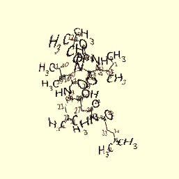 CC[C@H](C)[C@H](NC(=O)OC(C)(C)C)C(=O)N[C@H](C(=O)N[C@@H](CC(C)C)[C@@H](O)CC(=O)NC(=O)CCC(C)C)[C@@H](C)CC